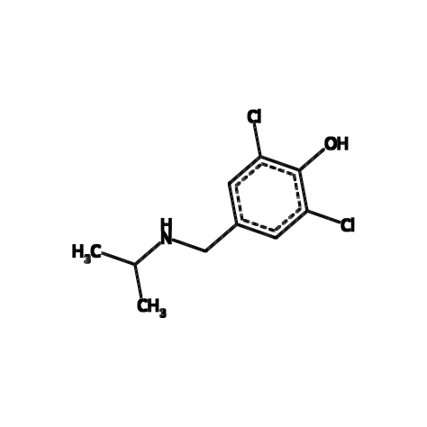 CC(C)NCc1cc(Cl)c(O)c(Cl)c1